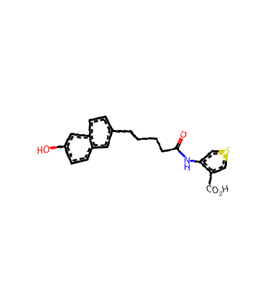 O=C(CCCCc1ccc2cc(O)ccc2c1)Nc1cscc1C(=O)O